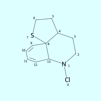 ClN1CCC2CCSC23C=CC=CC13